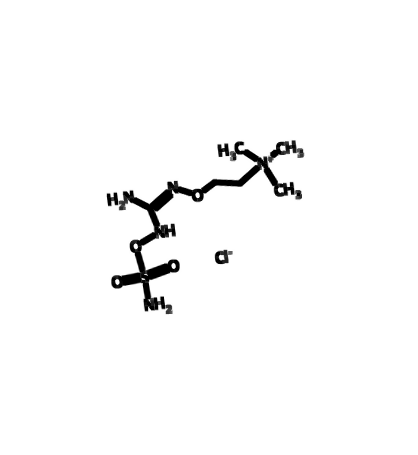 C[N+](C)(C)CCON=C(N)NOS(N)(=O)=O.[Cl-]